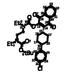 CCN(CCN(CC)C(=O)OC(C)(C)C)C(=O)OC1=C([C@H]2CC[C@H](c3ccc(Cl)cc3)CC2)C(=O)c2ccccc2C1=O